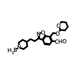 BN1CCC(CCc2noc3c(COC4CCCCO4)c(C=O)ccc23)CC1